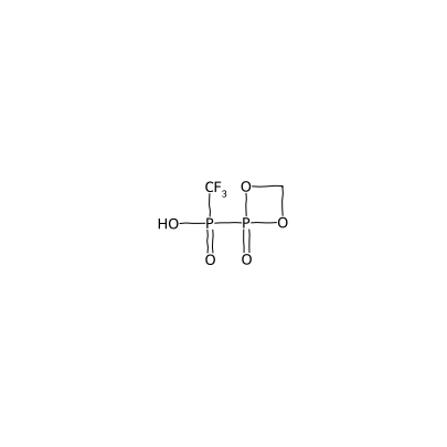 O=P1(P(=O)(O)C(F)(F)F)OCO1